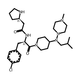 CC(C)CN(C1CCN(C(=O)[C@@H](Cc2ccc(Cl)cc2)NC(=O)C[C@H]2CCCN2)CC1)N1CCN(C)CC1